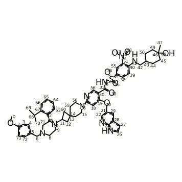 COc1ccc(CN2CCN(C3CC4(CCN(c5cc(Oc6cnc7[nH]ccc7c6)c(C(=O)NS(=O)(=O)c6ccc(NCC7CCC(C)(O)CC7)c([N+](=O)[O-])c6)cn5)CC4)C3)[C@H](c3ccccc3C(C)C)C2)cc1